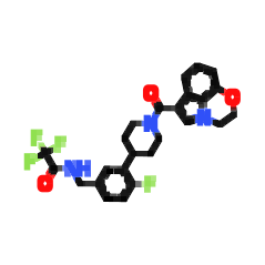 O=C(c1cn2c3c(cccc13)OCC2)N1CCC(c2cc(CNC(=O)C(F)(F)F)ccc2F)CC1